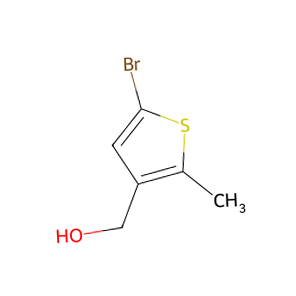 Cc1sc(Br)cc1CO